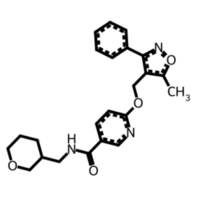 Cc1onc(-c2ccccc2)c1COc1ccc(C(=O)NCC2CCCOC2)cn1